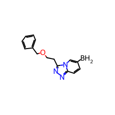 Bc1ccc2nnc(CCOCc3ccccc3)n2c1